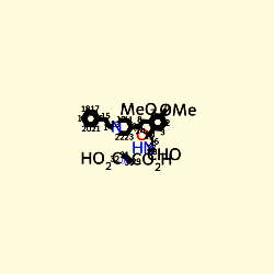 COc1ccc2c(c1OC)C[C@H](C1CCN(CCc3ccccc3)CC1)O[C@@H]2CNC=O.O=C(O)/C=C/C(=O)O